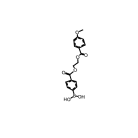 COc1ccc(C(=O)OCCOC(=O)c2ccc(B(O)O)cc2)cc1